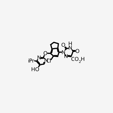 CC(C)c1nc(Oc2c(Cl)cc(-n3nc(C(=O)O)c(=O)[nH]c3=O)c3c2CCC3)ncc1O